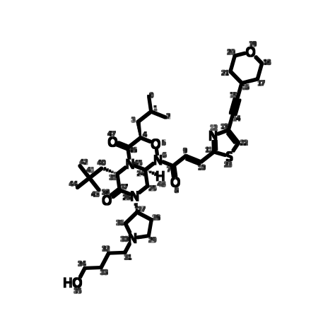 CC(C)C[C@H]1ON(C(=O)/C=C/c2nc(C#CC3CCOCC3)cs2)[C@H]2CN([C@@H]3CCN(CCCCO)C3)C(=O)[C@H](CC(C)(C)C)N2C1=O